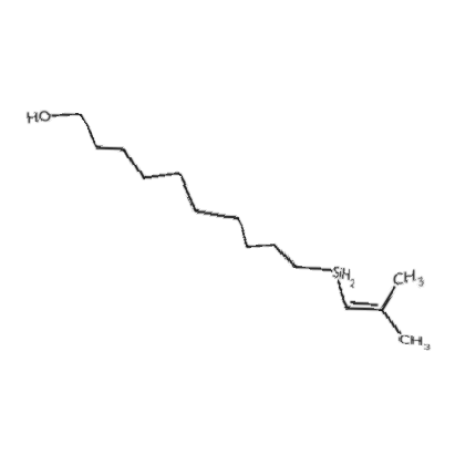 CC(C)=C[SiH2]CCCCCCCCCCO